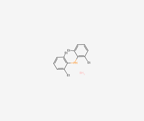 B.CCc1cccc(CC)c1Pc1c(CC)cccc1CC